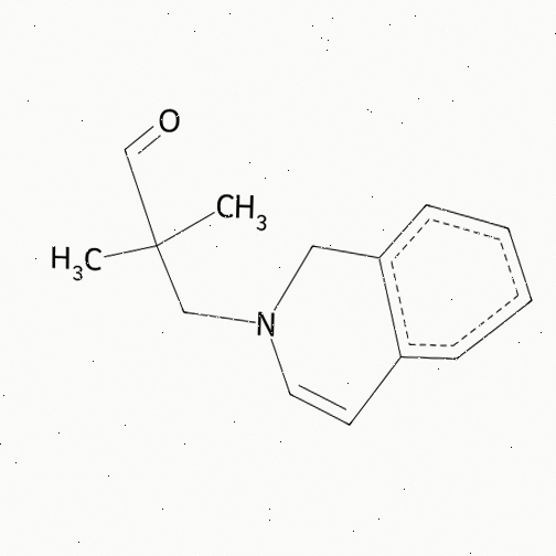 CC(C)(C=O)CN1C=Cc2ccccc2C1